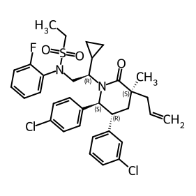 C=CC[C@@]1(C)C[C@H](c2cccc(Cl)c2)[C@@H](c2ccc(Cl)cc2)N([C@@H](CN(c2ccccc2F)S(=O)(=O)CC)C2CC2)C1=O